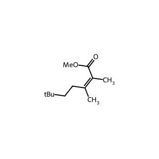 COC(=O)C(C)=C(C)CCC(C)(C)C